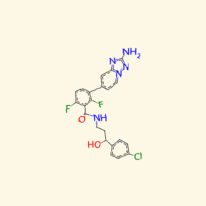 Nc1nc2cc(-c3ccc(F)c(C(=O)NCCC(O)c4ccc(Cl)cc4)c3F)ccn2n1